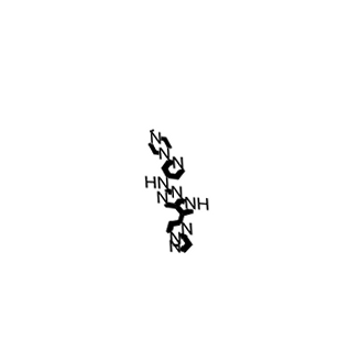 CN1CCN(c2cc(Nc3ncc4c(-c5ccn6nccc6n5)c[nH]c4n3)ccn2)CC1